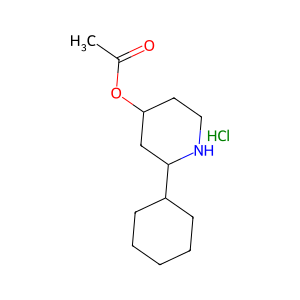 CC(=O)OC1CCNC(C2CCCCC2)C1.Cl